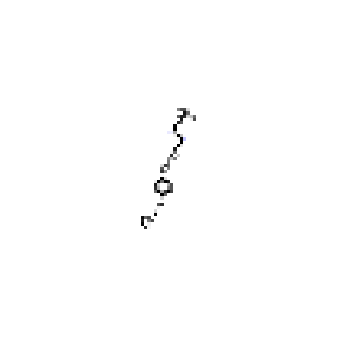 CC/C=C\C=C/COCCOc1ccc(CCCN2CCCC2)cc1